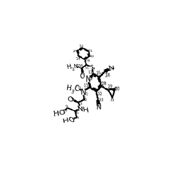 CN(CC(=O)NC(CO)CO)c1nc(SC(C(N)=O)c2ccccc2)c(C#N)c(C2CC2)c1C#N